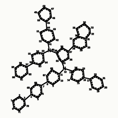 c1ccc(-c2ccc(-c3ccc(N(c4ccc(-c5ccccc5)cc4)c4cc(-c5ccc6ccccc6c5)cc(N(c5ccc(-c6ccccc6)cc5)c5ccc(-c6ccccc6)cc5)c4)cc3)cc2)cc1